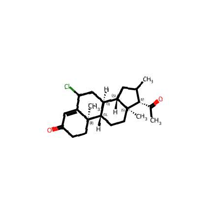 CC(=O)[C@H]1C(C)C[C@H]2[C@@H]3CC(Cl)C4=CC(=O)CC[C@]4(C)[C@H]3CC[C@]12C